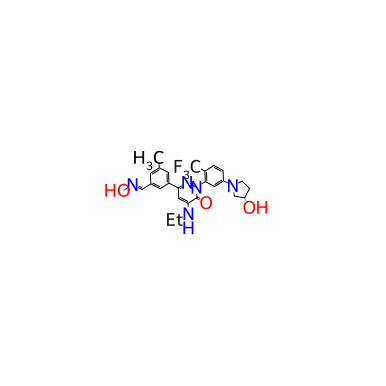 CCNc1cc(-c2cc(C)cc(C=NO)c2)nn(-c2cc(N3CC[C@H](O)C3)ccc2C(F)(F)F)c1=O